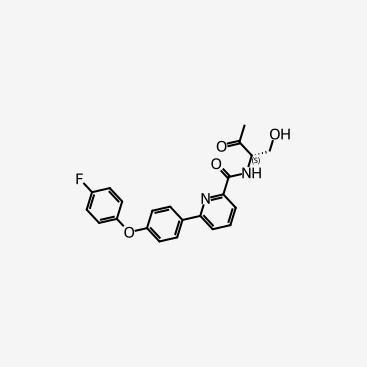 CC(=O)[C@H](CO)NC(=O)c1cccc(-c2ccc(Oc3ccc(F)cc3)cc2)n1